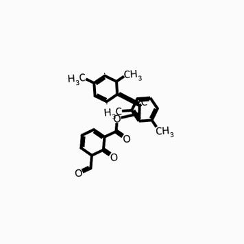 CC1=[C]C(C)C(=C2Cc3cc(C)c(c(C)c3)C2OC(=O)C2=CC=CC(C=O)C2=O)[C]=C1